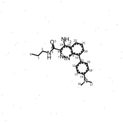 CCCNC(=O)c1nnc2c(-c3ccc(N(C)C)cc3)cccc2c1N